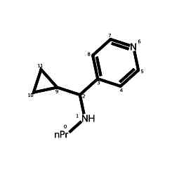 CCCNC(c1ccncc1)C1CC1